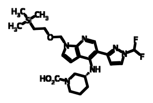 C[Si](C)(C)CCOCn1ccc2c(N[C@@H]3CCCN(C(=O)O)C3)c(-c3ccn(C(F)F)n3)cnc21